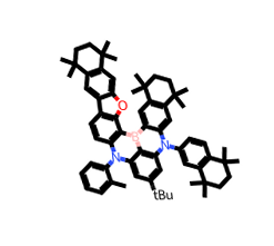 Cc1ccccc1N1c2cc(C(C)(C)C)cc3c2B(c2cc4c(cc2N3c2ccc3c(c2)C(C)(C)CCC3(C)C)C(C)(C)CCC4(C)C)c2c1ccc1c2oc2cc3c(cc21)C(C)(C)CCC3(C)C